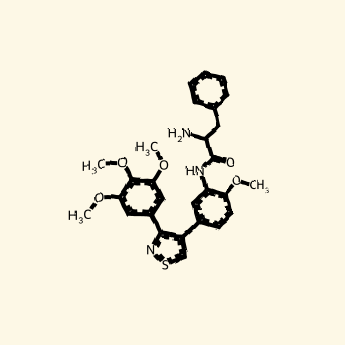 COc1ccc(-c2csnc2-c2cc(OC)c(OC)c(OC)c2)cc1NC(=O)C(N)Cc1ccccc1